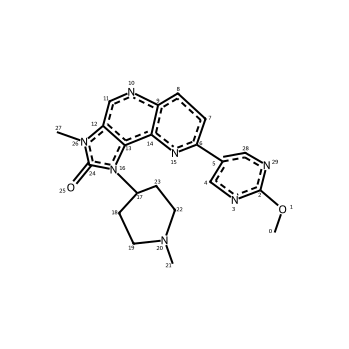 COc1ncc(-c2ccc3ncc4c(c3n2)n(C2CCN(C)CC2)c(=O)n4C)cn1